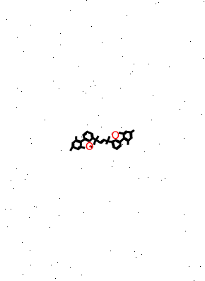 COc1c(-c2c(C)cc(C)cc2C)cccc1C(C)(C)/C=C/C(C)(C)c1cccc(-c2c(C)cc(C)cc2C)c1OC